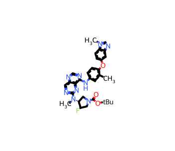 Cc1cc(Nc2ncnc3cnc(N(C)[C@@H]4CN(C(=O)OC(C)(C)C)C[C@@H]4F)nc23)ccc1Oc1ccc2c(c1)ncn2C